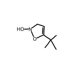 CC(C)(C)C1=CCN(O)O1